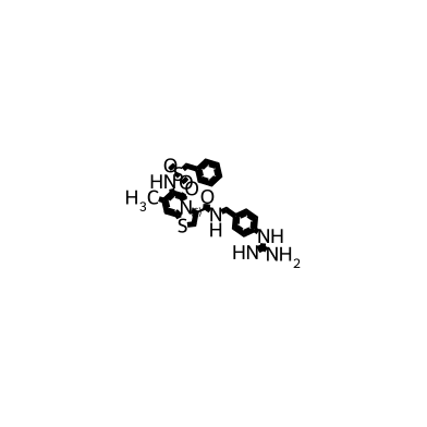 Cc1cc2n(c(=O)c1NS(=O)(=O)Cc1ccccc1)[C@@H](C(=O)NCc1ccc(NC(=N)N)cc1)CS2